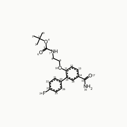 CC(C)(C)OC(=O)NCCOc1ccc(C(N)=O)cc1-c1ccc(F)cc1